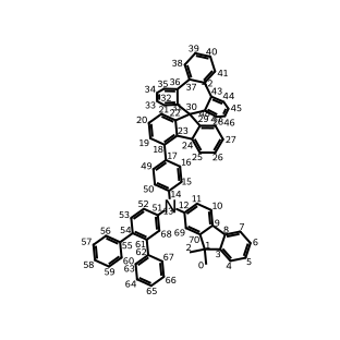 CC1(C)c2ccccc2-c2ccc(N(c3ccc(-c4cccc5c4-c4ccccc4C54c5ccccc5-c5ccccc5-c5ccccc54)cc3)c3ccc(-c4ccccc4)c(-c4ccccc4)c3)cc21